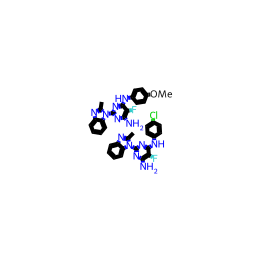 COc1ccc(Nc2nc(-n3c(C)nc4ccccc43)nc(N)c2F)cc1.Cc1nc2ccccc2n1-c1nc(N)c(F)c(Nc2ccc(Cl)cc2)n1